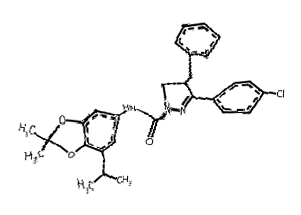 CC(C)c1cc(NC(=O)N2CC(c3ccccc3)C(c3ccc(Cl)cc3)=N2)cc2c1OC(C)(C)O2